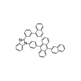 c1cc(-c2cccc3ccccc23)cc(-c2nc3ccccc3n2-c2ccc(-c3c4ccccc4c(-c4ccc5ccccc5c4)c4ccccc34)cc2)c1